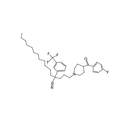 CCCCCCCCCCCCC(C#N)(CCCN1CCC(C(=O)c2ccc(F)cc2)CC1)c1cccc(C(F)(F)F)c1